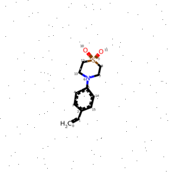 C=Cc1ccc(N2CCS(=O)(=O)CC2)cc1